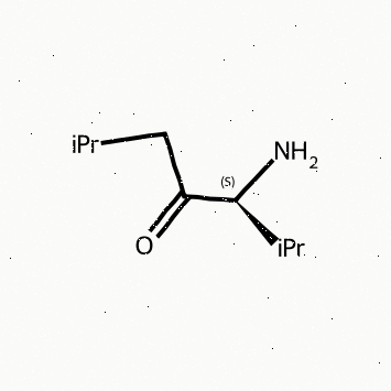 CC(C)CC(=O)[C@@H](N)C(C)C